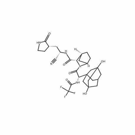 N#C[C@H](C[C@@H]1CCNC1=O)NC(=O)[C@@H]1[C@H]2CC[C@H](C2)N1C(=O)[C@@H](NC(=O)C(F)(F)F)C12CC3CC(O)(CC(O)(C3)C1)C2